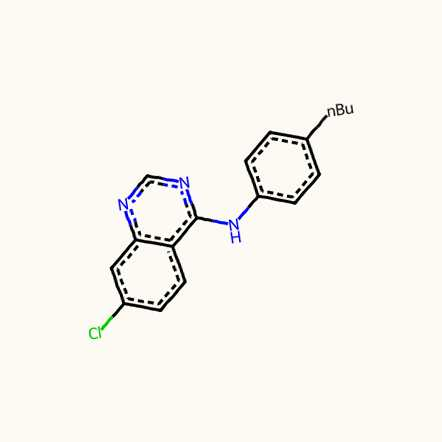 CCCCc1ccc(Nc2ncnc3cc(Cl)ccc23)cc1